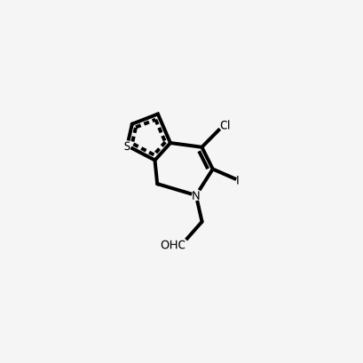 O=CCN1Cc2sccc2C(Cl)=C1I